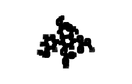 COC(=O)Cc1c(C(C)=O)c(OC(=O)OC)cc(OC(=O)OC)c1-c1cccc(OC)c1